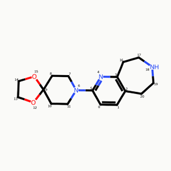 c1cc2c(nc1N1CCC3(CC1)OCCO3)CCNCC2